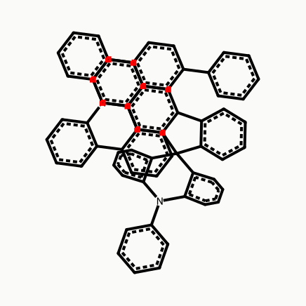 c1ccc(-c2ccc(-c3ccccc3N(c3ccc4c(c3)C3(c5ccccc5-4)c4ccccc4N(c4ccccc4)c4ccccc43)c3ccccc3-c3ccccc3-c3ccccc3)cc2)cc1